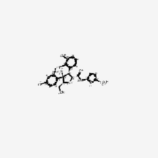 CC(C)(C)C[C@@H]1N[C@@H](C(=O)Nc2ccc(C(=O)O)s2)[C@H](c2cccc(Cl)c2F)[C@@]1(N)c1ccc(Cl)cc1F